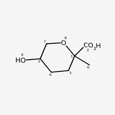 CC1(C(=O)O)CCC(O)CO1